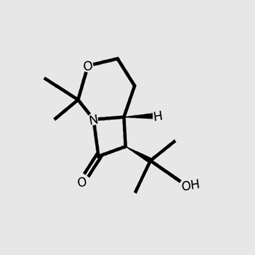 CC(C)(O)[C@H]1C(=O)N2[C@@H]1CCOC2(C)C